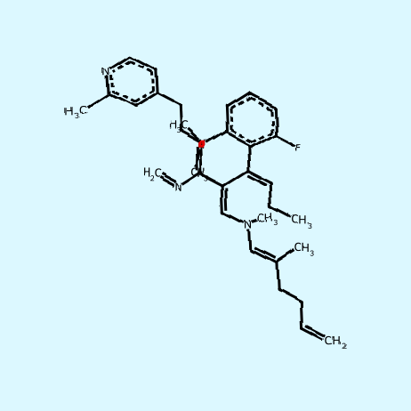 C=CCC/C(C)=C/N(C)/C=C(C(=C/CCc1ccnc(C)c1)/N=C)\C(=C/CC)c1c(F)cccc1N(C)C